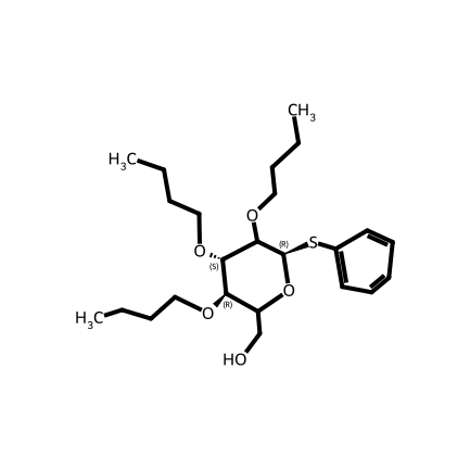 CCCCOC1[C@@H](Sc2ccccc2)OC(CO)[C@@H](OCCCC)[C@@H]1OCCCC